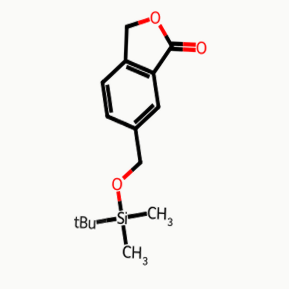 CC(C)(C)[Si](C)(C)OCc1ccc2c(c1)C(=O)OC2